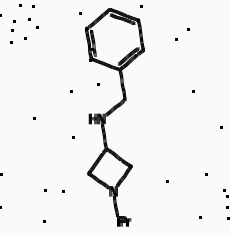 CC(C)N1CC(NCc2ccccc2)C1